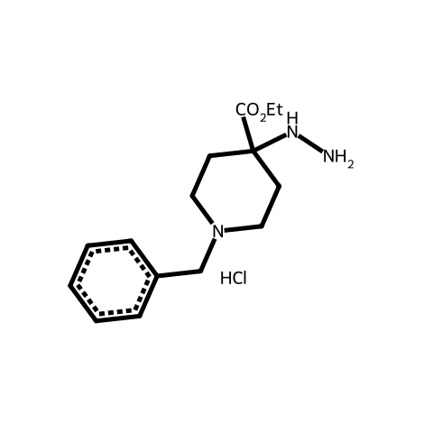 CCOC(=O)C1(NN)CCN(Cc2ccccc2)CC1.Cl